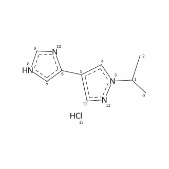 CC(C)n1cc(-c2c[nH]cn2)cn1.Cl